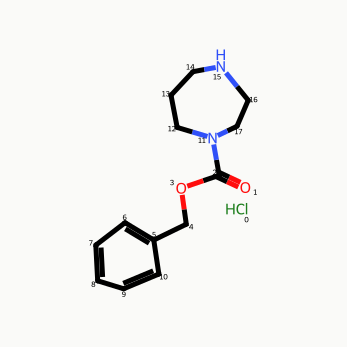 Cl.O=C(OCc1ccccc1)N1CCCNCC1